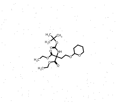 CCOC(=O)C(CCOC1CCCCO1)(NC(=O)OC(C)(C)C)C(=O)OCC